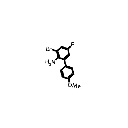 COc1ccc(-c2cc(F)cc(Br)c2N)cc1